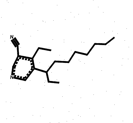 CCCCCCCC(CC)c1cncc(C#N)c1CC